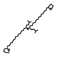 CC(C)CCC(CCCCCCCCCCCCCC1CCCCO1)SC(CCCCCCCCCCCCCC1CCCCO1)CCC(C)C